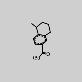 CC1CCCc2cc(C(=O)C(C)(C)C)ccc21